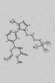 C=CCC(NC(=O)OC(C)(C)C)c1cccc(-c2c([N+](=O)[O-])cnn2COCC[Si](C)(C)C)c1